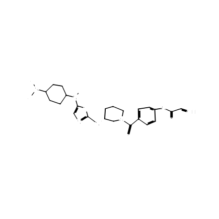 C=CC(=O)Nc1ccc(C(=O)N2CCC[C@@H](Nc3ncc(N(C)C4CCC(N(C)C)CC4)s3)C2)cc1